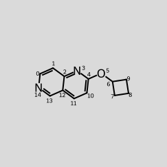 c1cc2nc(OC3CCC3)ccc2cn1